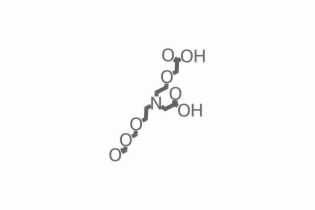 O=COCOCCN(CCOCC(=O)O)CC(=O)O